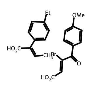 C/C=C(/C(=O)O)c1ccc(CC)cc1.COc1ccc(C(=O)/C(Br)=C/C(=O)O)cc1